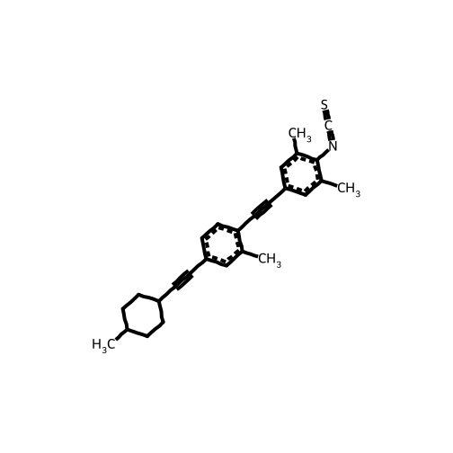 Cc1cc(C#CC2CCC(C)CC2)ccc1C#Cc1cc(C)c(N=C=S)c(C)c1